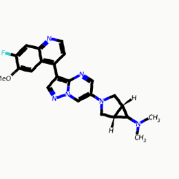 COc1cc2c(-c3cnn4cc(N5C[C@@H]6C(N(C)C)[C@@H]6C5)cnc34)ccnc2cc1F